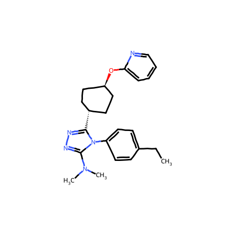 CCc1ccc(-n2c(N(C)C)nnc2[C@H]2CC[C@H](Oc3ccccn3)CC2)cc1